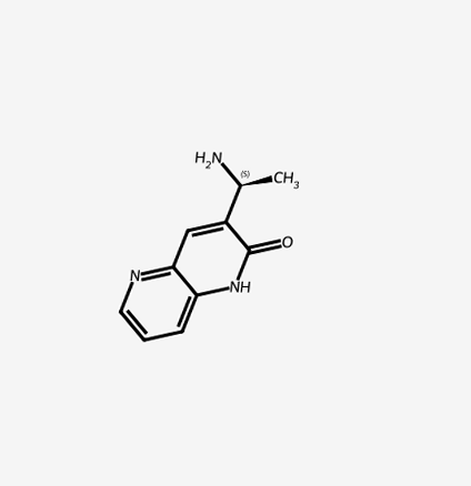 C[C@H](N)c1cc2ncccc2[nH]c1=O